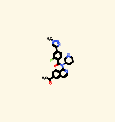 CC(=O)c1ccc2c(N(C(=O)c3ccc(-c4cn(C)nn4)cc3F)[C@@H]3CCCNC3)nccc2c1